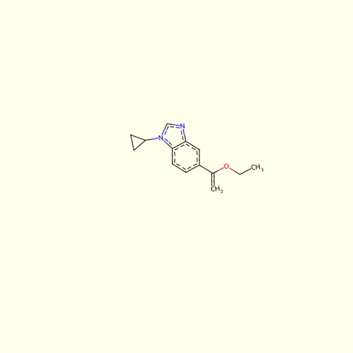 C=C(OCC)c1ccc2c(c1)ncn2C1CC1